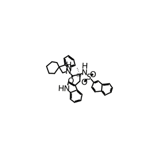 C[C@@](Cc1c[nH]c2ccccc12)(NS(=O)(=O)c1ccc2ccccc2c1)C(=O)NCC1(c2ccccn2)CCCCC1